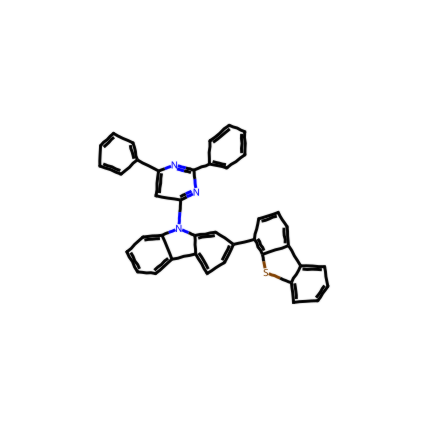 c1ccc(-c2cc(-n3c4ccccc4c4ccc(-c5cccc6c5sc5ccccc56)cc43)nc(-c3ccccc3)n2)cc1